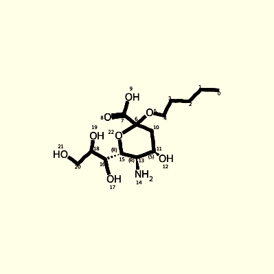 CCCCCOC1(C(=O)O)C[C@H](O)[C@@H](N)[C@H](C(O)C(O)CO)O1